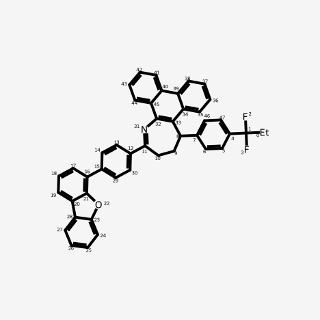 CCC(F)(F)c1ccc(C2CCC(c3ccc(-c4cccc5c4oc4ccccc45)cc3)=Nc3c2c2ccccc2c2ccccc32)cc1